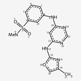 CNS(=O)(=O)c1cccc(Nc2cc(Nc3nc(C)co3)ncn2)c1